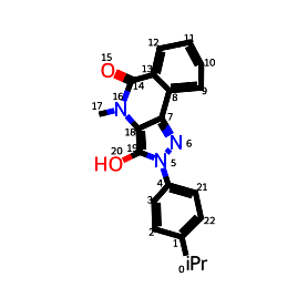 CC(C)c1ccc(-n2nc3c4ccccc4c(=O)n(C)c3c2O)cc1